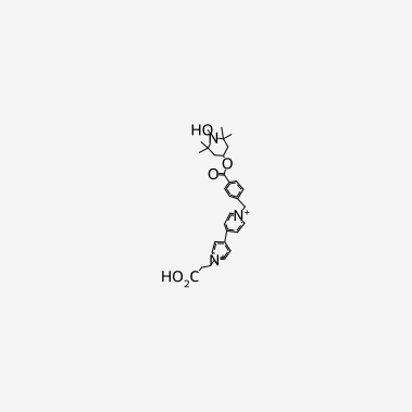 CC1(C)CC(OC(=O)c2ccc(C[n+]3ccc(-c4cc[n+](CCC(=O)O)cc4)cc3)cc2)CC(C)(C)N1O